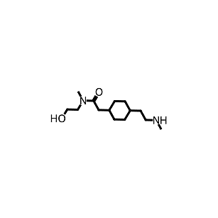 CNCCC1CCC(CC(=O)N(C)CCO)CC1